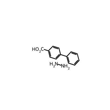 NN.O=C(O)c1ccc(-c2ccccc2)cc1